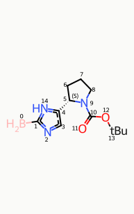 Bc1ncc([C@@H]2CCCN2C(=O)OC(C)(C)C)[nH]1